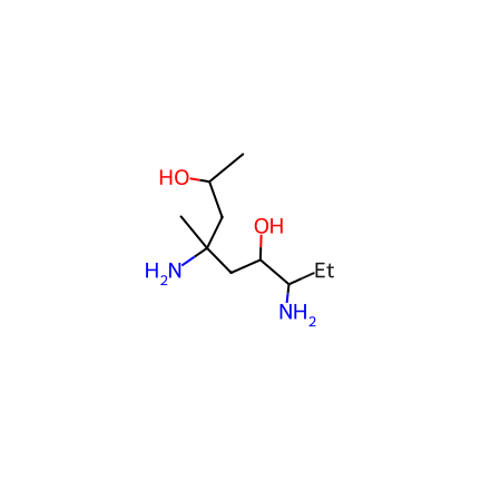 CCC(N)C(O)CC(C)(N)CC(C)O